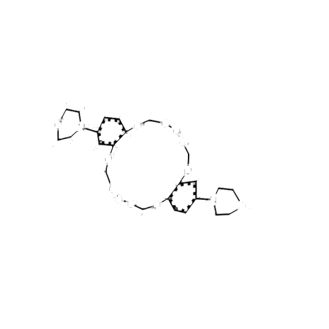 c1cc2c(cc1N1CCOCC1)OCCOCCOc1ccc(N3CCOCC3)cc1OCCOCCO2